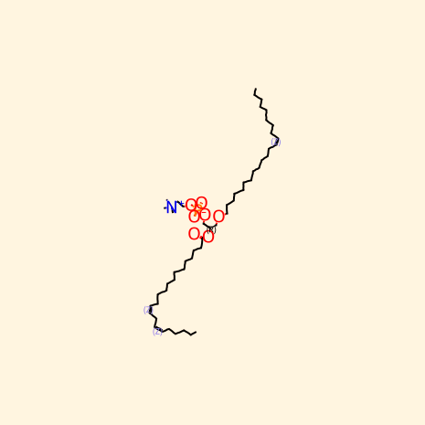 CCCCC/C=C\C/C=C\CCCCCCCCCCCC(=O)O[C@H](COCCCCCCCCCCCC/C=C\CCCCCCCC)COP(=O)([O-])OCC[N+](C)(C)C